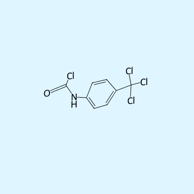 O=C(Cl)Nc1ccc(C(Cl)(Cl)Cl)cc1